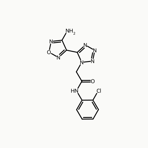 Nc1nonc1-c1nnnn1CC(=O)Nc1ccccc1Cl